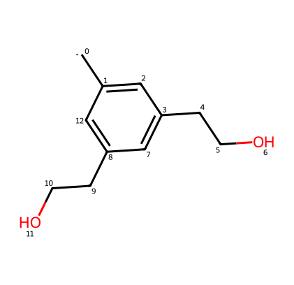 [CH2]c1cc(CCO)cc(CCO)c1